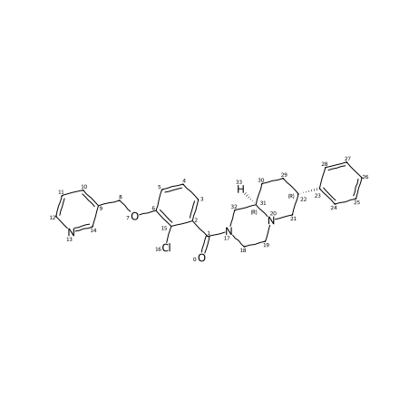 O=C(c1cccc(OCc2cccnc2)c1Cl)N1CCN2C[C@@H](c3ccccc3)CC[C@@H]2C1